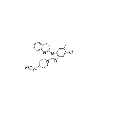 CCOC(=O)C1CCN(c2nc3cc(Cl)c(C)cc3n2-c2ccc3ccccc3n2)CC1